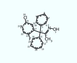 CC(=NO)C(c1ccccc1)(c1ccccc1)c1cc(Cl)ncc1F